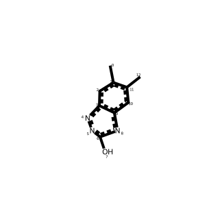 Cc1cc2nnc(O)nc2cc1C